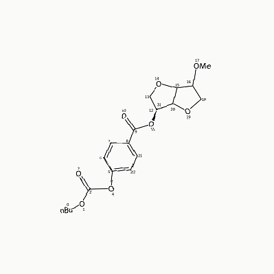 CCCCOC(=O)Oc1ccc(C(=O)O[C@H]2COC3C(OC)COC32)cc1